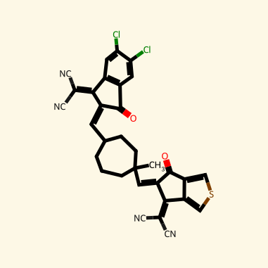 CC1(/C=C2\C(=O)c3cscc3C2=C(C#N)C#N)CCCC(/C=C2\C(=O)c3cc(Cl)c(Cl)cc3C2=C(C#N)C#N)CC1